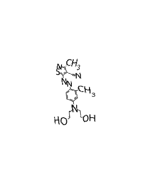 Cc1cc(N(CCO)CCO)ccc1/N=N/c1snc(C)c1C#N